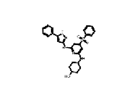 O=S(=O)(c1ccccc1)c1cc(Nc2cc(-c3ccccc3)[nH]n2)nc(NC2CCC(O)CC2)c1